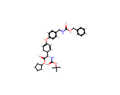 CC(C)(C)OC(=O)N[C@H](C(=O)OC1CCCC1)C1C=CC(Oc2ccc(CNC(=O)OCc3ccccc3)cc2)=CC1